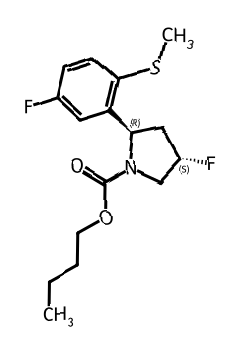 CCCCOC(=O)N1C[C@@H](F)C[C@@H]1c1cc(F)ccc1SC